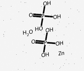 O.O=P(O)(O)O.O=P(O)(O)O.[Zn]